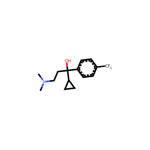 CN(C)CCC(O)(c1ccc(C(F)(F)F)cc1)C1CC1